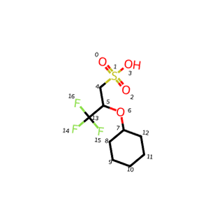 O=S(=O)(O)CC(OC1CCCCC1)C(F)(F)F